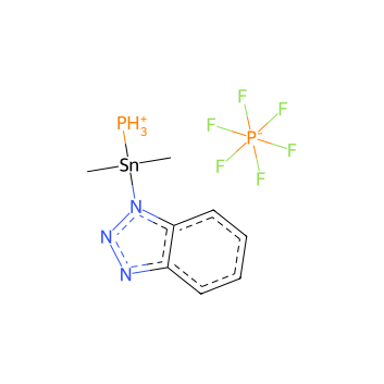 F[P-](F)(F)(F)(F)F.[CH3][Sn]([CH3])([PH3+])[n]1nnc2ccccc21